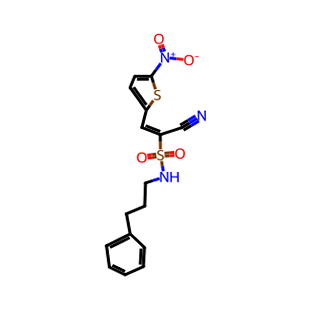 N#CC(=Cc1ccc([N+](=O)[O-])s1)S(=O)(=O)NCCCc1ccccc1